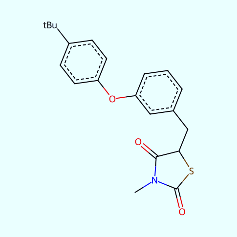 CN1C(=O)SC(Cc2cccc(Oc3ccc(C(C)(C)C)cc3)c2)C1=O